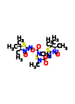 CC1[N+](=O)C(=NOC(=O)N(C)SN(C)C(=O)ON=C2SC(C)(C)C(C)[N+]2=O)SC1(C)C